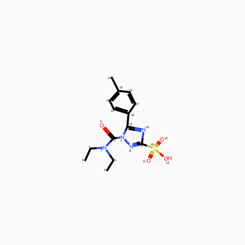 CCN(CC)C(=O)n1nc(S(=O)(=O)O)nc1-c1ccc(C)cc1